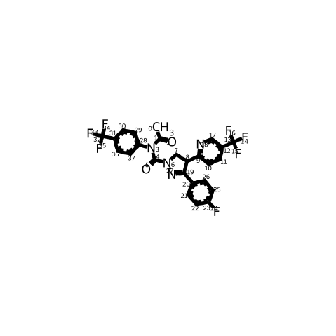 CC(=O)N(C(=O)N1CC(c2ccc(C(F)(F)F)cn2)C(c2ccc(F)cc2)=N1)c1ccc(C(F)(F)F)cc1